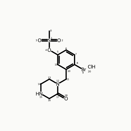 CS(=O)(=O)Oc1ccc(Br)c(CN2CCNCC2=O)c1.Cl